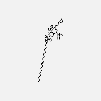 CCCCCCCC/C=C/CCCCCCC/C=N/S(=O)(=O)c1cc2c(s1)S(=O)(=O)N(CCCOC)C[C@@H]2NCC